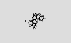 CCN1Cc2nc3c(-c4cccnc4OC)c(F)ccc3c(N)c2C1=O